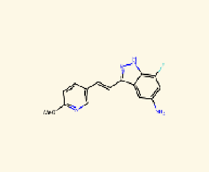 COc1ccc(C=Cc2n[nH]c3c(F)cc(N)cc23)cn1